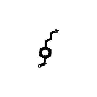 O=[C]c1ccc(CCCBr)cc1